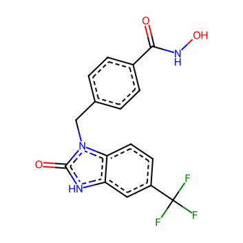 O=C(NO)c1ccc(Cn2c(=O)[nH]c3cc(C(F)(F)F)ccc32)cc1